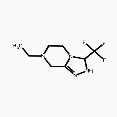 CCN1CCN2C(=NNC2C(F)(F)F)C1